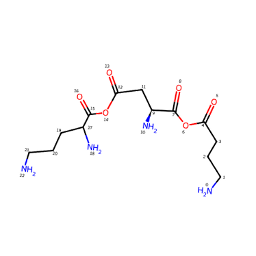 NCCCC(=O)OC(=O)[C@@H](N)CC(=O)OC(=O)C(N)CCCN